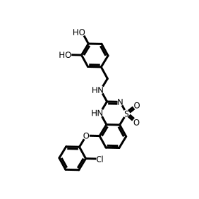 O=S1(=O)N=C(NCc2ccc(O)c(O)c2)Nc2c(Oc3ccccc3Cl)cccc21